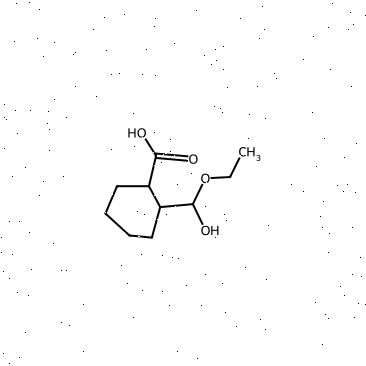 CCOC(O)C1CCCCC1C(=O)O